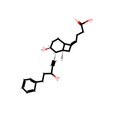 O=C(O)CC/C=C1/C[C@@H]2C1CC[C@H](O)[C@H]2C#CC(O)CCc1ccccc1